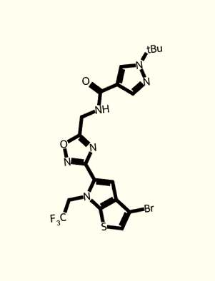 CC(C)(C)n1cc(C(=O)NCc2nc(-c3cc4c(Br)csc4n3CC(F)(F)F)no2)cn1